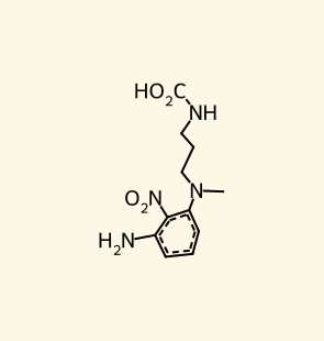 CN(CCCNC(=O)O)c1cccc(N)c1[N+](=O)[O-]